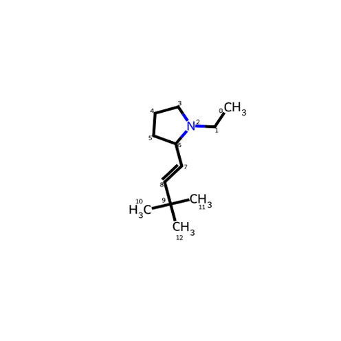 CCN1CCCC1/C=C/C(C)(C)C